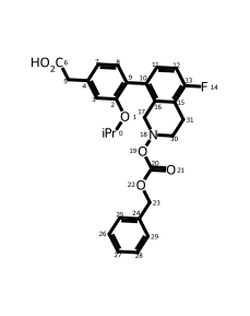 CC(C)Oc1cc(CC(=O)O)ccc1-c1ccc(F)c2c1CN(OC(=O)OCc1ccccc1)CC2